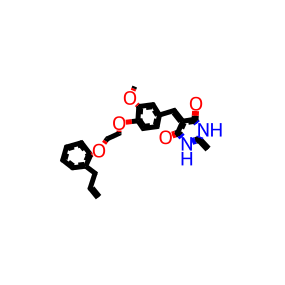 C=CCc1ccccc1OCCOc1ccc(C=c2c(=O)[nH]c(=C)[nH]c2=O)cc1OC